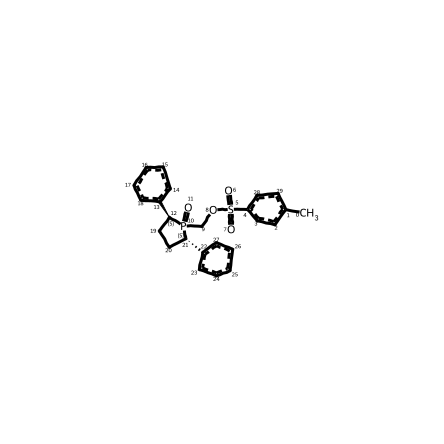 Cc1ccc(S(=O)(=O)OCP2(=O)[C@H](c3ccccc3)CC[C@H]2c2ccccc2)cc1